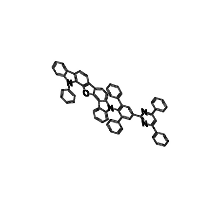 c1ccc(-c2cc(-c3ccccc3)nc(-c3cc(-c4ccccc4)c(-n4c5ccccc5c5c6oc7c(ccc8c9ccccc9n(-c9ccccc9)c87)c6ccc54)c(-c4ccccc4)c3)n2)cc1